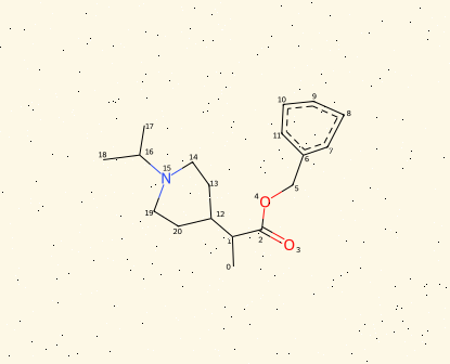 CC(C(=O)OCc1ccccc1)C1CCN(C(C)C)CC1